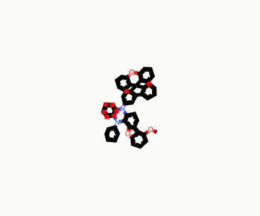 COc1cccc2oc3c(N(c4ccccc4)c4ccccc4)c(N(c4ccccc4)c4ccc5c(c4)-c4ccccc4C54c5ccccc5Oc5ccccc54)ccc3c12